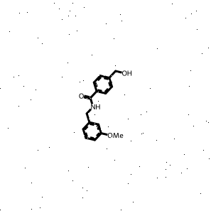 COc1cccc(CNC(=O)c2ccc(CO)cc2)c1